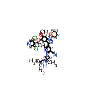 COc1cc2c(cc1O[C@H](C)c1c(Cl)cncc1Cl)c(-c1cnc(N3CC(C)(NCC(C)C)C3)c(C#N)c1)nn2C1CCCCO1